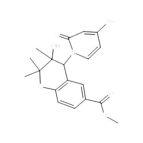 COC(=O)c1ccc2c(c1)C(n1ccc(O)cc1=O)C(C)(O)C(C)(C)O2